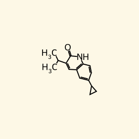 CC(C)c1cc2cc(C3CC3)ccc2[nH]c1=O